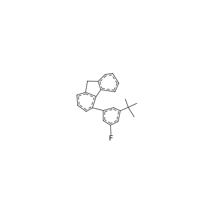 CC(C)(C)c1cc(F)cc(-c2cccc3c2-c2ccccc2C3)c1